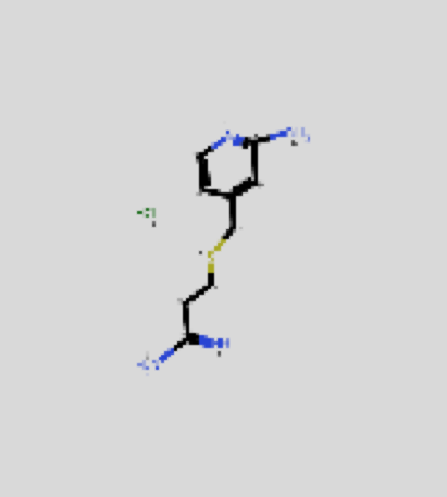 Cl.N=C(N)CCSCc1ccnc(N)c1